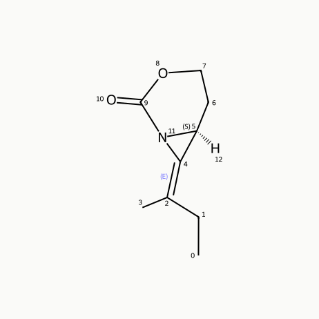 CC/C(C)=C1\[C@@H]2CCOC(=O)N12